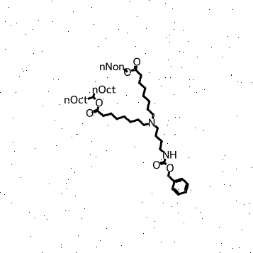 CCCCCCCCCOC(=O)CCCCCCCN(CCCCCCCC(=O)OC(CCCCCCCC)CCCCCCCC)CCCCNC(=O)OCc1ccccc1